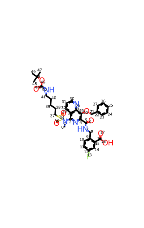 CN(c1nc(C(=O)NCc2ccc(F)cc2C(=O)O)c(OCc2ccccc2)c2ncccc12)S(=O)(=O)CCCCCNC(=O)OC(C)(C)C